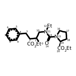 CCOC(=O)C(CCc1ccccc1)CN(CC)C(=O)N1CCC[C@H]1C(=O)OCC